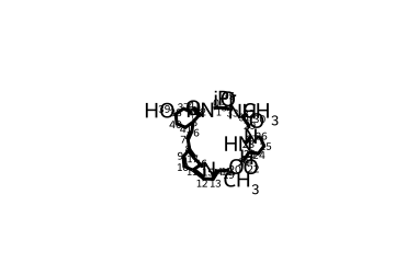 CC(C)[C@@H]1NC(=O)[C@]2(/C=C/c3ccc4ccc(nc4c3)[C@@H](C)OC(=O)[C@@H]3CCCN(N3)C(=O)[C@H](C)NC1=O)CC[C@H](O)CC2